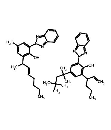 C=CC(CCC)c1cc(C(C)(C)CC(C)(C)C)cc(-n2nc3ccccc3n2)c1O.CCCC/C=C/C(C)c1cc(C)cc(-n2nc3ccccc3n2)c1O